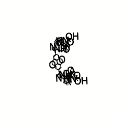 CO[C@H](C)[C@H](NC(=O)O)C(=O)N1C(c2ncc(-c3cc4c5c(c3)OCc3cc(-c6cnc([C@@H]7CC[C@H](C)N7C(=O)[C@@H](NC(=O)O)[C@@H](C)OC)[nH]6)cc(c3-5)OC4)[nH]2)CC[C@@H]1C